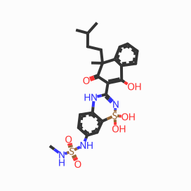 CNS(=O)(=O)Nc1ccc2c(c1)S(O)(O)N=C(C1=C(O)c3ccccc3C(C)(CCC(C)C)C1=O)N2